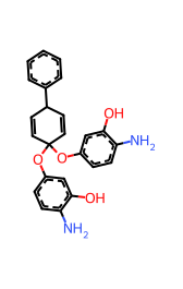 Nc1ccc(OC2(Oc3ccc(N)c(O)c3)C=CC(c3ccccc3)C=C2)cc1O